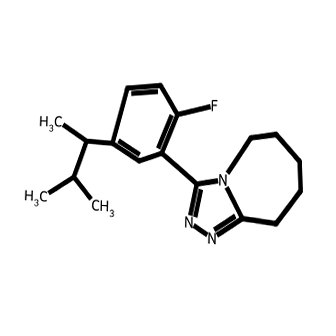 CC(C)C(C)c1ccc(F)c(-c2nnc3n2CCCCC3)c1